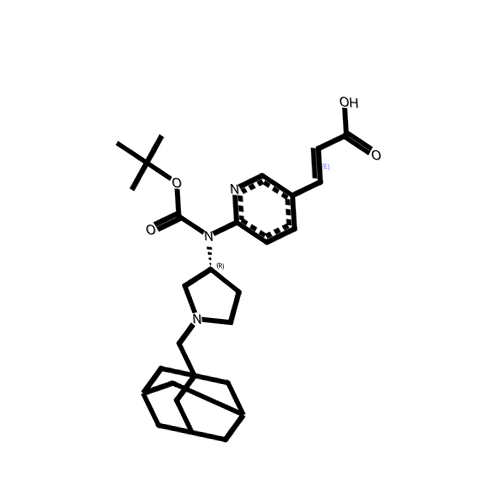 CC(C)(C)OC(=O)N(c1ccc(/C=C/C(=O)O)cn1)[C@@H]1CCN(CC23CC4CC(CC(C4)C2)C3)C1